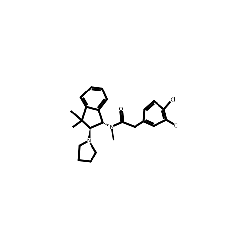 CN(C(=O)Cc1ccc(Cl)c(Cl)c1)[C@H]1c2ccccc2C(C)(C)[C@@H]1N1CCCC1